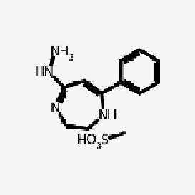 CS(=O)(=O)O.NNC1=NCCNC(c2ccccc2)=C1